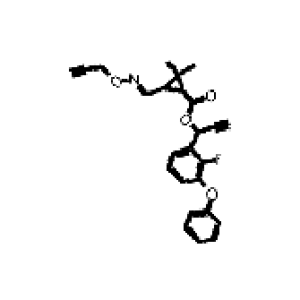 C#CCON=CC1C(C(=O)OC(C#C)c2cccc(Oc3ccccc3)c2F)C1(C)C